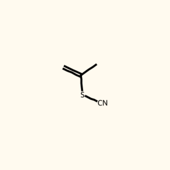 C=C(C)SC#N